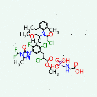 CCOC(=O)C(Cl)Cc1cc(-n2nc(C)n(C(F)F)c2=O)c(F)cc1Cl.CCc1cccc(C)c1N(C(=O)CCl)C(C)COC.O=C(O)CNCP(=O)(O)O